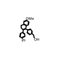 COc1ccc2c(c1)CCC(c1ccc(C(C)C)cc1)=C2c1ccc(CCO)cc1